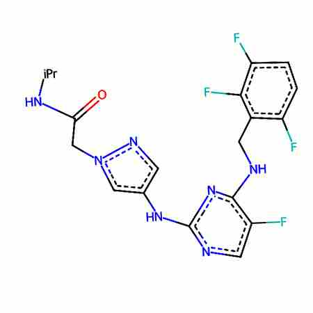 CC(C)NC(=O)Cn1cc(Nc2ncc(F)c(NCc3c(F)ccc(F)c3F)n2)cn1